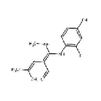 CN/C(Nc1ccc(C)cc1F)=C(/C=O)C=C(C)C